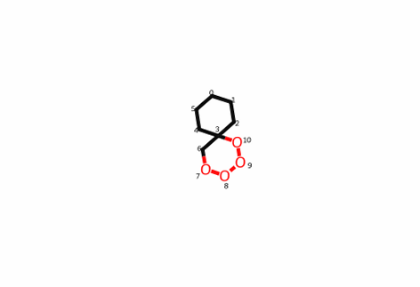 C1CCC2(CC1)COOOO2